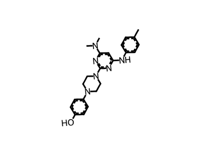 Cc1ccc(Nc2cc(N(C)C)nc(N3CCN(c4ccc(O)cc4)CC3)n2)cc1